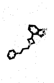 c1ccc(CCCN2CC(c3cccc4[nH]ncc34)C2)cc1